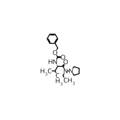 CCN(C(=O)[C@@H](NC(=O)OCc1ccccc1)C(C)C)N1CCCC1